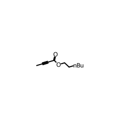 CC#CC(=O)OCCCCCC